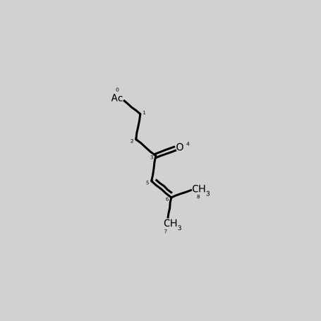 CC(=O)CCC(=O)C=C(C)C